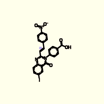 O=C(O)c1ccc(-n2c(/C=C/c3ccc([N+](=O)[O-])cc3)nc3ccc(I)cc3c2=O)cc1